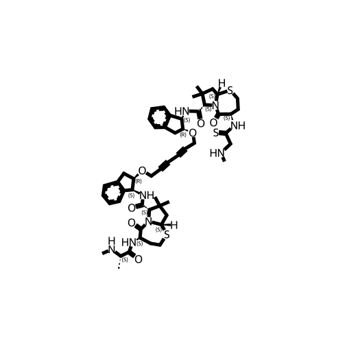 CNCC(=S)N[C@H]1CCS[C@H]2CC(C)(C)[C@@H](C(=O)N[C@H]3c4ccccc4C[C@H]3OCC#CC#CCO[C@@H]3Cc4ccccc4[C@@H]3NC(=O)[C@H]3N4C(=O)[C@@H](NC(=O)[C@H](C)NC)CCS[C@H]4CC3(C)C)N2C1=O